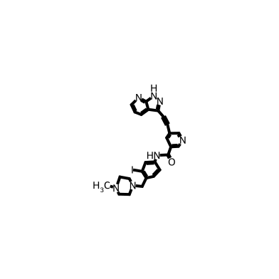 CN1CCN(Cc2ccc(NC(=O)c3cncc(C#Cc4n[nH]c5ncccc45)c3)cc2I)CC1